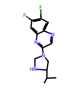 CC(C)C1CN(c2cnc3cc(F)c(F)cc3n2)CN1